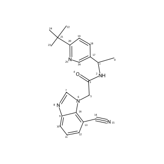 CC(NC(=O)Cn1cnc2cccc(C#N)c21)c1ccc(C(C)(C)C)nc1